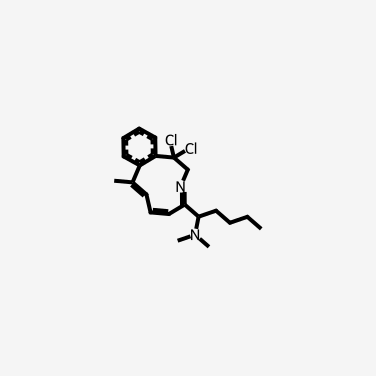 CCCCC(C1=N\CC(Cl)(Cl)c2ccccc2/C(C)=C/C=C\1)N(C)C